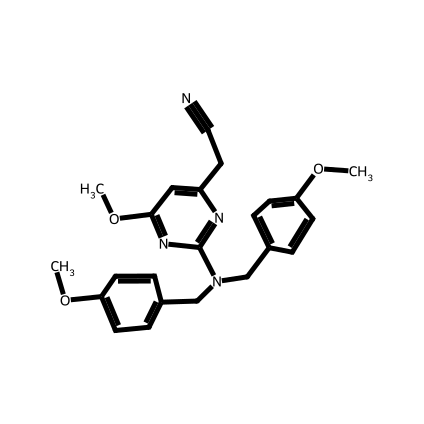 COc1ccc(CN(Cc2ccc(OC)cc2)c2nc(CC#N)cc(OC)n2)cc1